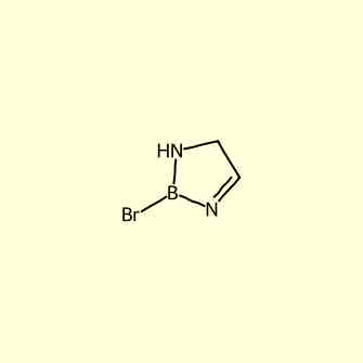 BrB1N=CCN1